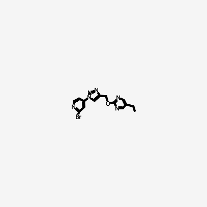 CCc1cnc(OCc2cn(-c3ccnc(Br)c3)nn2)nc1